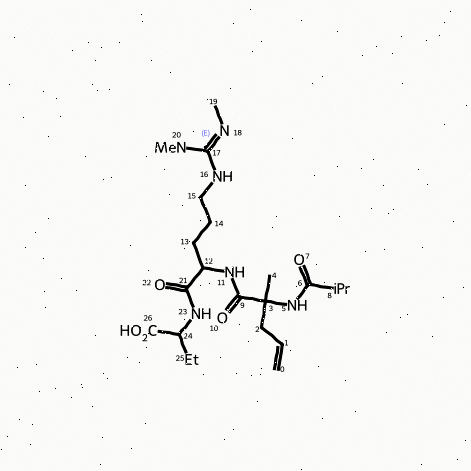 C=CCC(C)(NC(=O)C(C)C)C(=O)NC(CCCN/C(=N/C)NC)C(=O)NC(CC)C(=O)O